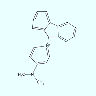 CN(C)c1cc[n+](C2c3ccccc3-c3ccccc32)cc1